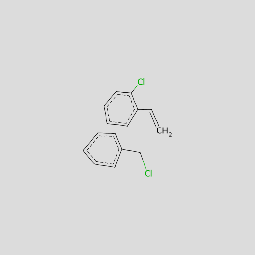 C=Cc1ccccc1Cl.ClCc1ccccc1